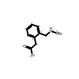 CCC(=O)Cc1ccccc1CNC(C)(C)C